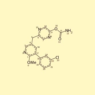 COc1ncc(Cc2cnc(OC(N)=O)cn2)cc1-c1cccc(Cl)c1